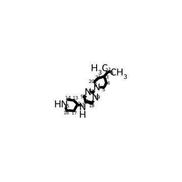 CC(C)C1CCN(c2ncc(NC3CCNCC3)cn2)CC1